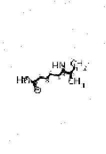 [CH2]CC(C)C(=N)CCCCC(=O)O